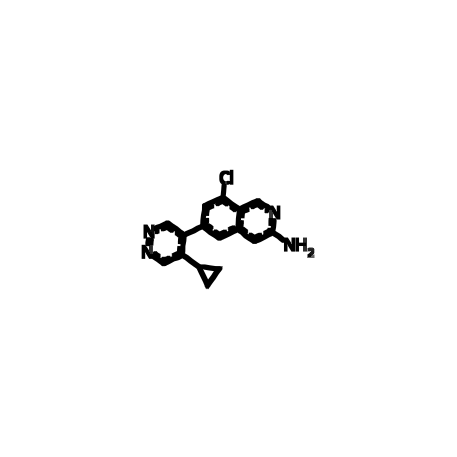 Nc1cc2cc(-c3cnncc3C3CC3)cc(Cl)c2cn1